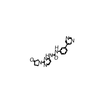 O=C1CCN(c2nccc(NC(=O)Nc3cccc(-c4cncnc4)c3)n2)C1